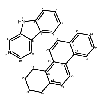 c1ccc2c(c1)[nH]c1cnccc12.c1ccc2c(c1)ccc1c3c(ccc12)CCCC3